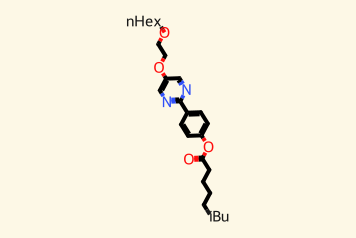 CCCCCCOCCOc1cnc(-c2ccc(OC(=O)CCCCC(C)CC)cc2)nc1